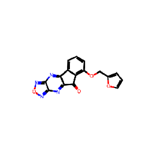 O=C1c2nc3nonc3nc2-c2cccc(OCc3ccco3)c21